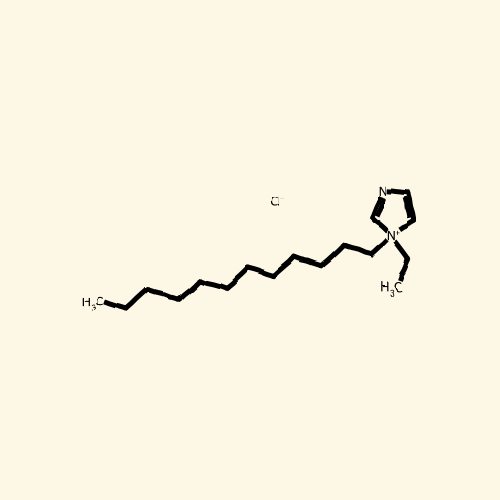 CCCCCCCCCCCC[N+]1(CC)C=CN=C1.[Cl-]